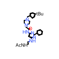 CC(=O)NCCNc1cc(NC(=O)CN2CCN(Cc3ccc(C(C)(C)C)cc3)CC2)nc(-c2ccccc2)n1